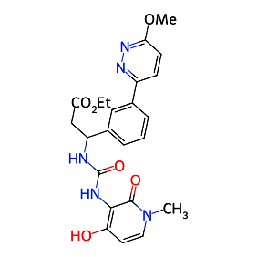 CCOC(=O)CC(NC(=O)Nc1c(O)ccn(C)c1=O)c1cccc(-c2ccc(OC)nn2)c1